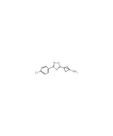 NC12CC(c3nc(-c4ccc(Cl)cc4)no3)(C1)C2